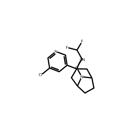 N#CC1(c2cncc(Cl)c2)CC2CCC(C1)N2OCC(F)F